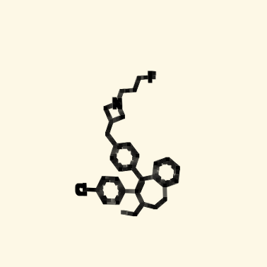 CCC1CCc2ccccc2C(c2ccc(CC3CN(CCCF)C3)cc2)=C1c1ccc(Cl)cc1